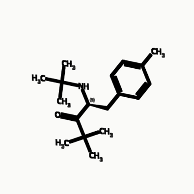 Cc1ccc(C[C@H](NC(C)(C)C)C(=O)C(C)(C)C)cc1